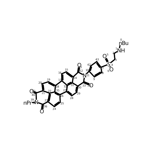 CCCCNCCS(=O)(=O)c1ccc(N2C(=O)c3ccc4c5ccc6c7c(ccc(c8ccc(c3c48)C2=O)c75)C(=O)N(CCC)C6=O)cc1